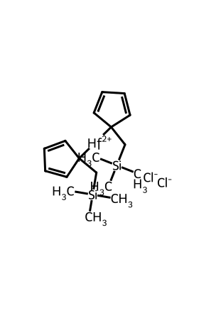 C[Si](C)(C)C[C]1([Hf+2][C]2(C[Si](C)(C)C)C=CC=C2)C=CC=C1.[Cl-].[Cl-]